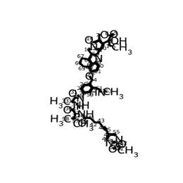 CC[C@@]1(O)C(=O)OCc2c1cc1n(c2=O)Cc2c-1nc1ccc(OCc3ccc(NC(=O)[C@H](C)NC(=O)[C@@H](NC(=O)CCCC#Cc4cnc(S(C)(=O)=O)nc4)C(C)C)cc3CNC)c3c1c2CCC3